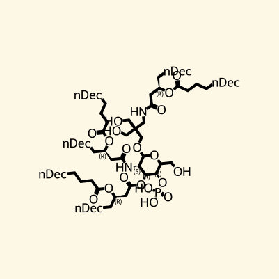 CCCCCCCCCCCCCC(=O)O[C@H](CCCCCCCCCCC)CC(=O)NCC(CO)(CO)COC1OC(CO)[C@@H](OP(=O)(O)O)[C@H](OC(=O)C[C@@H](CCCCCCCCCCC)OC(=O)CCCCCCCCCCCCC)[C@@H]1NC(=O)C[C@@H](CCCCCCCCCCC)OC(=O)CCCCCCCCCCCCC